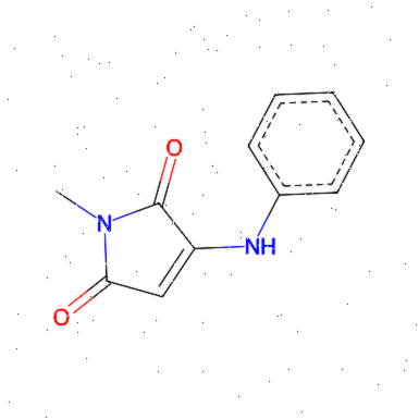 CN1C(=O)C=C(Nc2ccccc2)C1=O